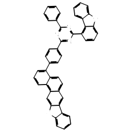 c1ccc(-c2nc(-c3ccc(-c4cccc5c4ccc4cc6c(cc45)oc4ccccc46)cc3)nc(-c3cccc4oc5ccccc5c34)n2)cc1